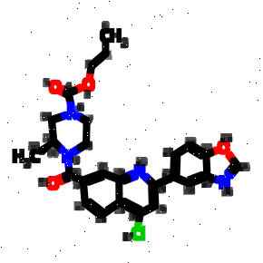 CCCOC(=O)N1CCN(C(=O)c2ccc3c(Cl)cc(-c4ccc5ocnc5c4)nc3c2)[C@@H](C)C1